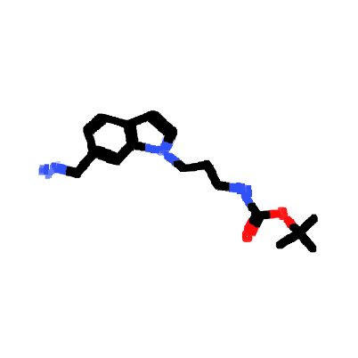 CC(C)(C)OC(=O)NCCCn1ccc2ccc(CN)cc21